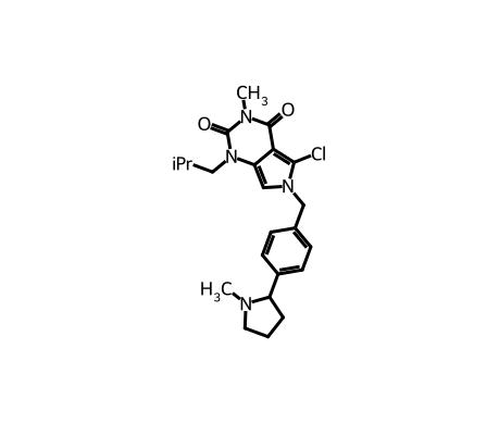 CC(C)Cn1c(=O)n(C)c(=O)c2c(Cl)n(Cc3ccc(C4CCCN4C)cc3)cc21